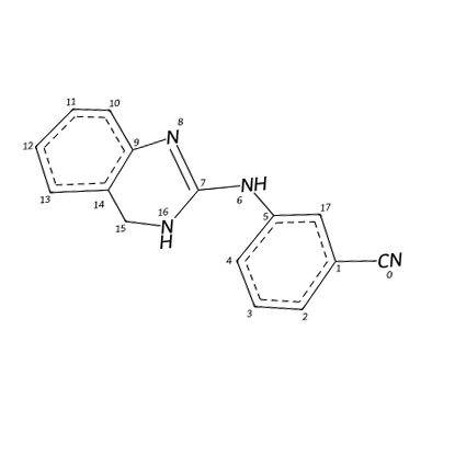 N#Cc1cccc(NC2=Nc3ccccc3CN2)c1